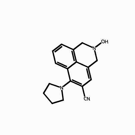 N#Cc1cc2c3c(cccc3c1N1CCCC1)CN(O)C2